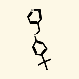 CC(C)(C)c1ccc(OCc2ccncc2)cc1